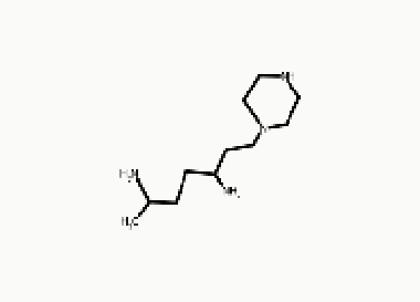 CC(N)CCC(N)CCN1CCNCC1